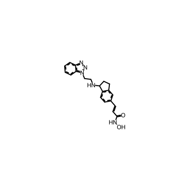 O=C(C=Cc1ccc2c(c1)CCC2NCCn1nnc2ccccc21)NO